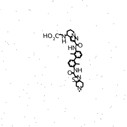 Cc1c(NC(=O)c2cc3n(n2)CCCC3NCC(=O)O)cccc1-c1cccc(NC(=O)c2nc3c(s2)CN(C)CC3)c1C